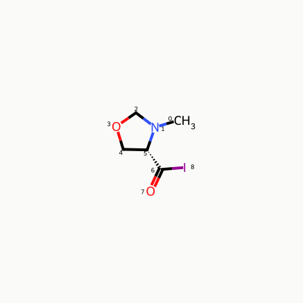 CN1COC[C@H]1C(=O)I